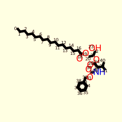 CCCCCCCCCCCCCCCCCC(=O)OCC(CO)OC(=O)[C@@H](NC(=O)OCc1ccccc1)C(C)C